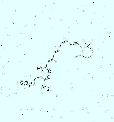 CC1=C(/C=C/C(C)=C\C=C\C(C)=C\C(=O)NC(CS(=O)(=O)O)C(N)=O)C(C)(C)CCC1